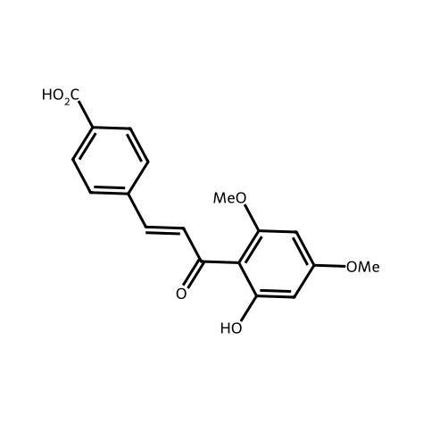 COc1cc(O)c(C(=O)C=Cc2ccc(C(=O)O)cc2)c(OC)c1